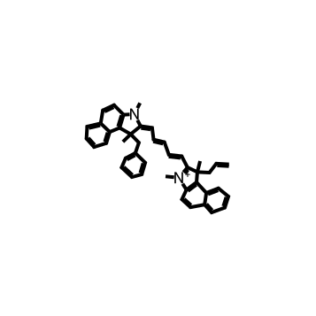 C=CCC1(C)C(/C=C/C=C/C=C2/N(C)c3ccc4ccccc4c3C2(C)Cc2ccccc2)=[N+](C)c2ccc3ccccc3c21